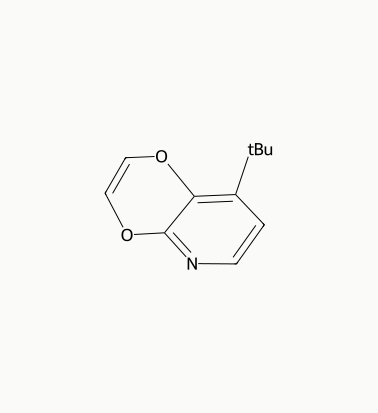 CC(C)(C)c1ccnc2c1OC=CO2